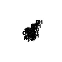 CCC(CNS(=O)(=O)C1(C)CC1)N1C(=O)C(C)(CC(=O)NCCO)CC(c2cccc(Cl)c2)C1c1ccc(Cl)cc1